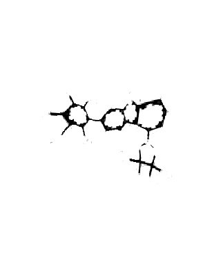 Bc1c(B)c(B)c(-c2ccc3c(c2)oc2cccc(B4OC(C)(C)C(C)(C)O4)c23)c(B)c1B